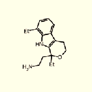 CCc1cccc2c3c([nH]c12)C(CC)(CCN)OCC3